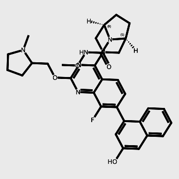 CONC(=O)N1[C@@H]2CC[C@H]1CN(c1nc(OCC3CCCN3C)nc3c(F)c(-c4cc(O)cc5ccccc45)ccc13)C2